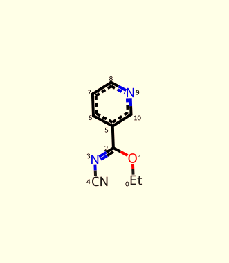 CCOC(=NC#N)c1cccnc1